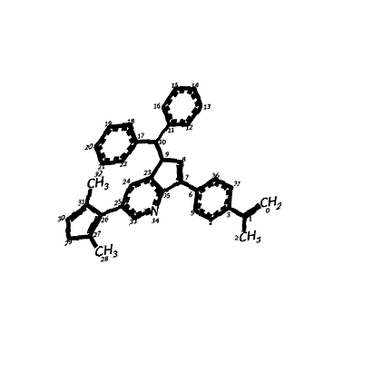 C=C(C)c1ccc(C2=CC(C(c3ccccc3)c3ccccc3)c3cc(C4=C(C)CC=C4C)cnc32)cc1